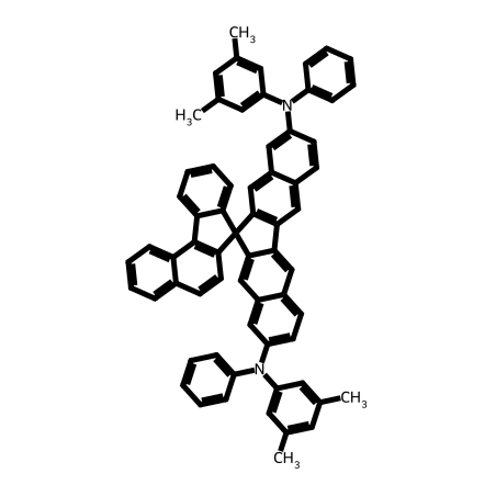 Cc1cc(C)cc(N(c2ccccc2)c2ccc3cc4c(cc3c2)C2(c3cc5cc(N(c6ccccc6)c6cc(C)cc(C)c6)ccc5cc3-4)c3ccccc3-c3c2ccc2ccccc32)c1